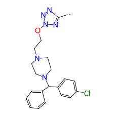 [CH2]c1nnn(OCCN2CCN(C(c3ccccc3)c3ccc(Cl)cc3)CC2)n1